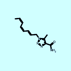 C\C=C/C=C\C=C\Cn1nnc(C(N)=O)c1C